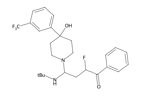 CC(C)(C)NC(CC(F)C(=O)c1ccccc1)N1CCC(O)(c2cccc(C(F)(F)F)c2)CC1